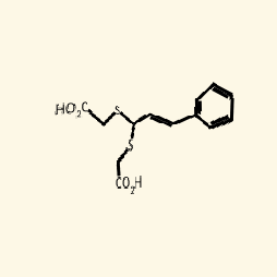 O=C(O)CSC(/C=C/c1ccccc1)SCC(=O)O